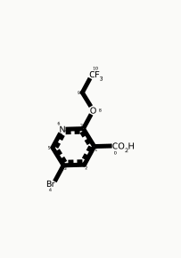 O=C(O)c1cc(Br)cnc1OCC(F)(F)F